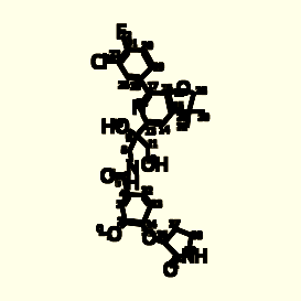 COc1cc(C(=O)NCC(O)(CO)c2cc3c(c(-c4ccc(F)c(Cl)c4)n2)OCC3(C)C)ccc1OC1CCNC1=O